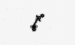 CCc1cc(-c2ccccc2)cc(CC)c1OCCCCCCN1C(=O)c2ccccc2C1=O